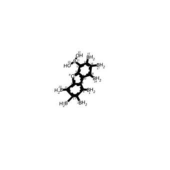 Bc1c(B)c(B)c2c(oc3c(B(O)O)c(B)c(B)c(B)c32)c1B